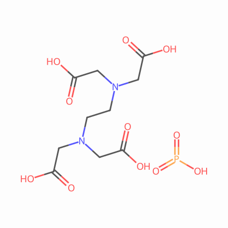 O=C(O)CN(CCN(CC(=O)O)CC(=O)O)CC(=O)O.O=P(=O)O